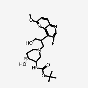 COc1ccc2ncc(F)c(C(CO)CN3CC[C@@H](O)C(NC(=O)OC(C)(C)C)C3)c2n1